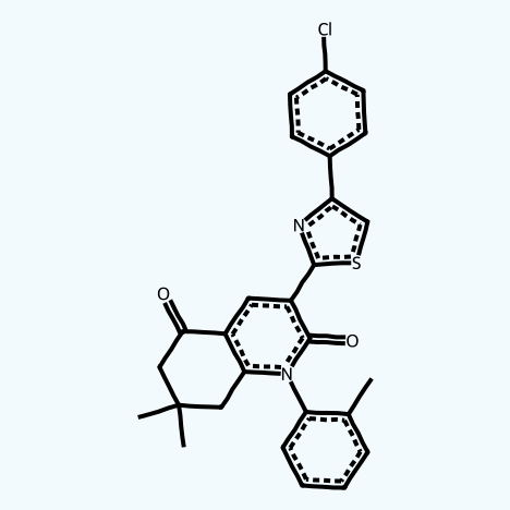 Cc1ccccc1-n1c2c(cc(-c3nc(-c4ccc(Cl)cc4)cs3)c1=O)C(=O)CC(C)(C)C2